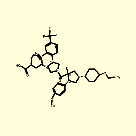 CCO[C@H]1CC[C@H](N2C[C@@H](c3ccc(OC)cc3)[C@](F)(C(=O)N3C[C@H](CC#N)[C@@H](c4ccc(C(F)(F)F)cc4N4CCC(C(=O)O)CC4)C3)C2)CC1